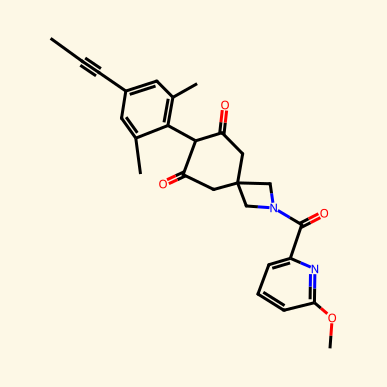 CC#Cc1cc(C)c(C2C(=O)CC3(CC2=O)CN(C(=O)c2cccc(OC)n2)C3)c(C)c1